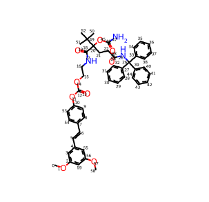 COc1cc(C=Cc2ccc(OC(=O)OCCNC(=O)C(CCC(=O)NC(c3ccccc3)(c3ccccc3)c3ccccc3)(OC(N)=O)C(C)(C)C)cc2)cc(OC)c1